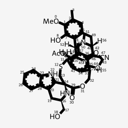 COc1c(C)cc2c(c1O)[C@H]1[C@@H]3[C@@H]4SC[C@]5(N[C@@H](CO)Cc6c5[nH]c5ccccc65)C(=O)OC[C@@H](c5c6c(c(C)c(OC(C)=O)c54)OCO6)N3C(C#N)[C@@H](C2)N1C